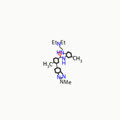 CCN(CC)CCNc1ccc(C)cc1NC(=O)c1ccc(C)c(-c2ccc3nc(NC)ncc3c2)c1